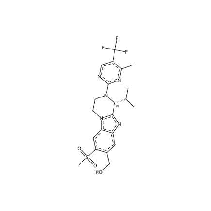 Cc1nc(N2CCn3c(nc4cc(CO)c(S(C)(=O)=O)cc43)[C@H]2C(C)C)ncc1C(F)(F)F